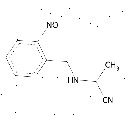 CC(C#N)NCc1ccccc1N=O